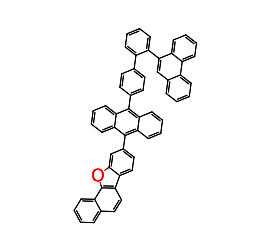 c1ccc(-c2cc3ccccc3c3ccccc23)c(-c2ccc(-c3c4ccccc4c(-c4ccc5c(c4)oc4c6ccccc6ccc54)c4ccccc34)cc2)c1